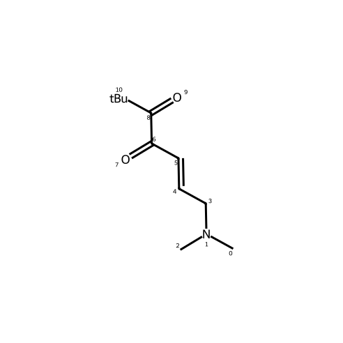 CN(C)C/C=C/C(=O)C(=O)C(C)(C)C